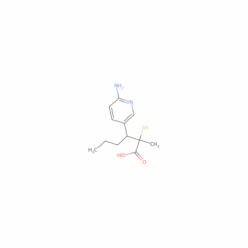 CCCC(c1ccc(N)nc1)C(C)(S)C(=O)O